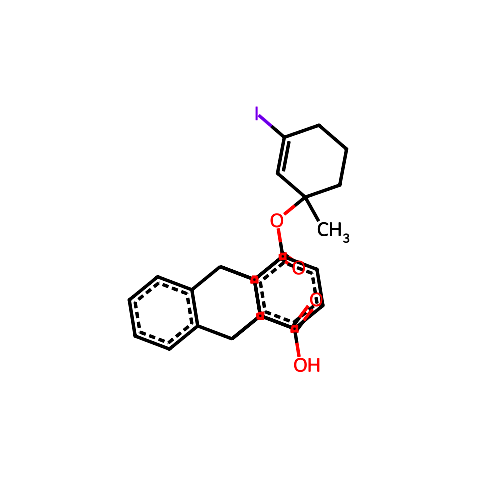 CC1(OC(=O)C2C3c4ccccc4C(c4ccccc43)C2C(=O)O)C=C(I)CCC1